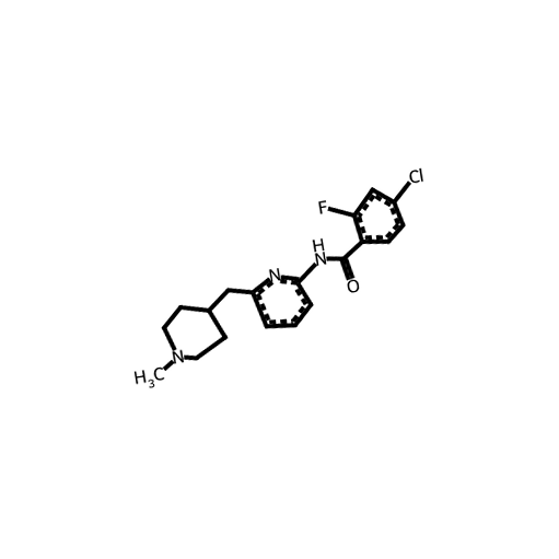 CN1CCC(Cc2cccc(NC(=O)c3ccc(Cl)cc3F)n2)CC1